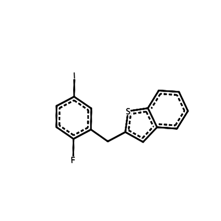 Fc1ccc(I)cc1Cc1cc2ccccc2s1